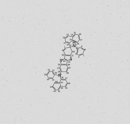 C1=CC(Nc2ccccc2)(c2cccc3ccccc23)Cc2sc3c(sc4cc(N(c5ccccc5)c5cccc6ccccc56)ccc43)c21